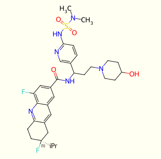 CC(C)[C@]1(F)CCc2nc3c(F)cc(C(=O)NC(CCN4CCC(O)CC4)c4ccc(NS(=O)(=O)N(C)C)nc4)cc3cc2C1